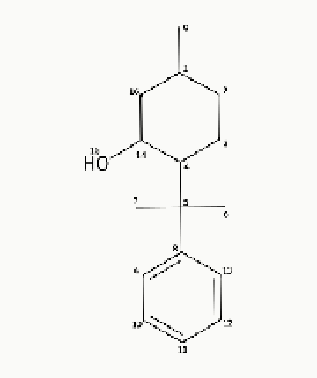 CC1CCC(C(C)(C)c2ccccc2)C(O)C1